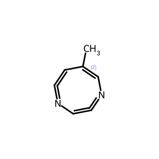 C/C1=C/N=C=CN=C=C1